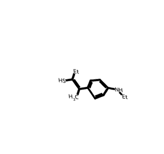 CCNc1ccc(/C(C)=C(/S)CC)cc1